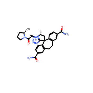 C[C@H](CC1(c2nnn(C)n2)c2ccc(C(N)=O)cc2CCc2cc(C(N)=O)ccc21)NCC(=O)N1CCC[C@H]1C#N